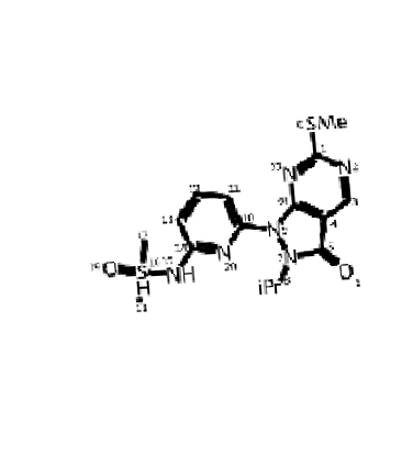 CSc1ncc2c(=O)n(C(C)C)n(-c3cccc(N[SH](C)(C)=O)n3)c2n1